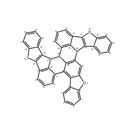 c1ccc2c(c1)oc1cc3c4c(c12)-c1cccc2c5sc6ccccc6c5n(c12)B4c1cccc2c4oc5ccccc5c4n-3c12